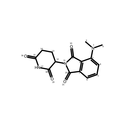 CN(C)c1cccc2c1C(=O)N(C1CCC(=O)NC1=O)C2=O